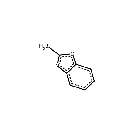 Bc1nc2ccccc2o1